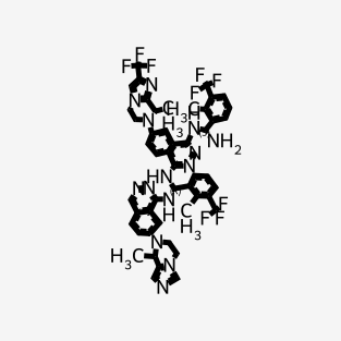 Cc1c([C@H](Nc2nncc3ccc(N4CCn5cncc5C4C)cc23)Nc2nnc(N[C@H](N)c3cccc(C(F)(F)F)c3C)c3cc(N4CCn5cc(C(F)(F)F)nc5C4C)ccc23)cccc1C(F)(F)F